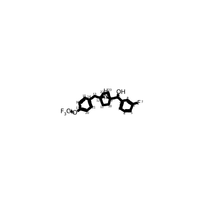 OC(c1cccc(F)c1)C12CCC(Cc3ccc(OC(F)(F)F)cc3)(CC1)N2